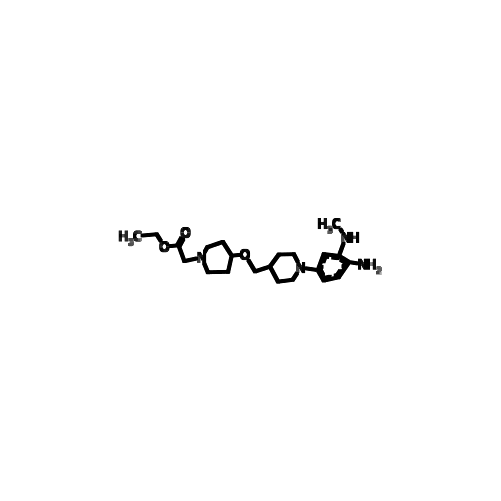 CCOC(=O)CN1CCC(OCC2CCN(c3ccc(N)c(NC)c3)CC2)CC1